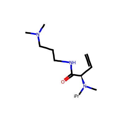 C=C[C@H](C(=O)NCCCN(C)C)N(C)C(C)C